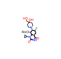 COc1c(N2CCC(O)(CO)CC2)c(F)cc2c(=O)[nH]c(=O)n(C3CC3)c12